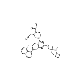 C=CC(=O)N1CCN(c2nc(OCC(C)(CC)N(C)C3CCC3)nc3c2CCN(c2cccc4cccc(C)c24)C3)CC1CC#N